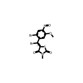 COc1cc(/C(Br)=C2\SC(=O)N(C)C2=O)c(Br)cc1N=O